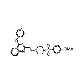 COc1ccc(S(=O)(=O)N2CCN(CCc3nc(Oc4ccncc4)c4ccccc4n3)CC2)cc1